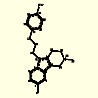 Cc1ccc2c(c1)c1c(n2CCCc2ccc(F)cc2)CCN(C)C1